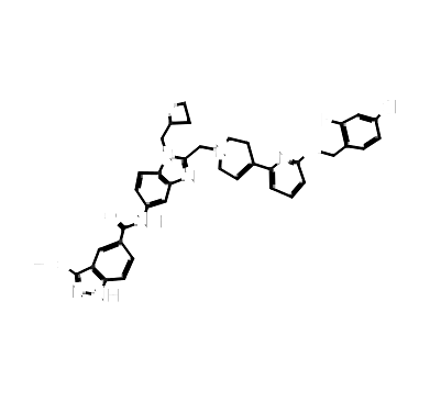 Cc1n[nH]c2ccc(C(=O)Nc3ccc4c(c3)nc(CN3CC=C(c5cccc(OCc6ccc(Cl)cc6F)n5)CC3)n4CC3CCO3)cc12